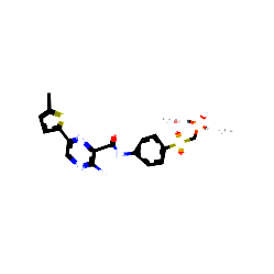 COP(=O)(CS(=O)(=O)c1ccc(NC(=O)c2nc(-c3ccc(C)s3)cnc2N)cc1)OC